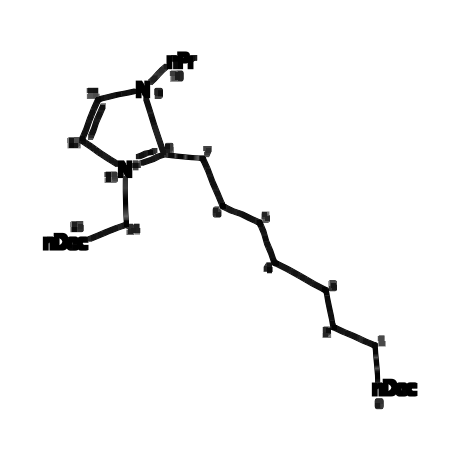 CCCCCCCCCCCCCCCCCc1n(CCC)cc[n+]1CCCCCCCCCCC